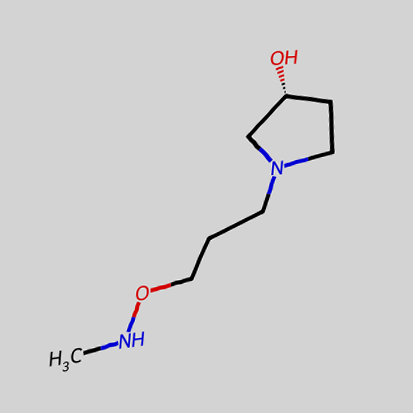 CNOCCCN1CC[C@@H](O)C1